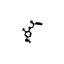 CNC(=O)COc1ccc(N)cc1F